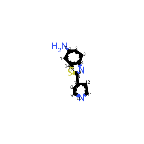 Nc1ccc2nc(-c3ccncc3)sc2c1